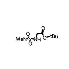 CNS(=O)(=O)NCC(=O)OC(C)(C)C